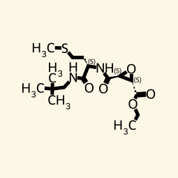 CCOC(=O)[C@H]1O[C@@H]1C(=O)N[C@@H](CCSC)C(=O)NCC(C)(C)C